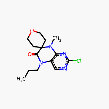 CCCN1C(=O)C2(CCOCC2)N(C)c2nc(Cl)ncc21